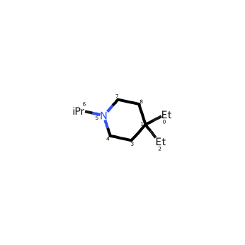 CCC1(CC)CCN(C(C)C)CC1